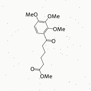 COC(=O)CCCCC(=O)c1ccc(OC)c(OC)c1OC